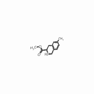 COC(=O)C1Cc2cc(C)ccc2CN1